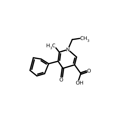 CCn1cc(C(=O)O)c(=O)c(-c2ccccc2)c1C